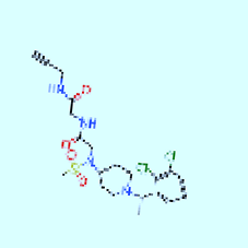 C#CCNC(=O)CNC(=O)CN(C1CCN(C(C)c2cccc(Cl)c2Cl)CC1)S(C)(=O)=O